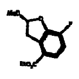 CCOC(=O)c1ccc(F)c2c1CC(OC)O2